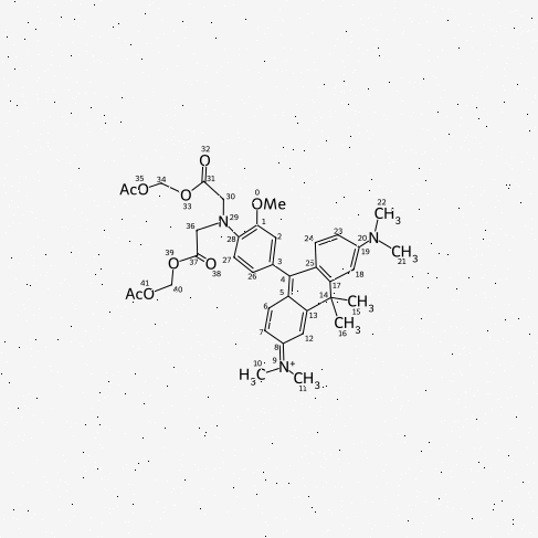 COc1cc(C2=C3C=CC(=[N+](C)C)C=C3C(C)(C)c3cc(N(C)C)ccc32)ccc1N(CC(=O)OCOC(C)=O)CC(=O)OCOC(C)=O